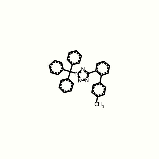 Cc1ccc(-c2ccccc2-c2nnn(C(c3ccccc3)(c3ccccc3)c3ccccc3)n2)cc1